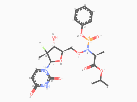 CC(C)OC(=O)[C@H](C)N(OC[C@H]1O[C@@H](n2ccc(=O)[nH]c2=O)[C@](C)(F)[C@@H]1O)[PH](=O)Oc1ccccc1